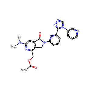 CNC(=O)OCc1nc(N(C)C(C)C)cc2c1CN(c1cccc(-c3nncn3-c3cccnc3)n1)C2=O